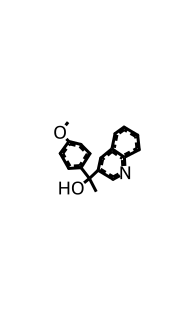 COc1ccc(C(C)(O)c2cnc3ccccc3c2)cc1